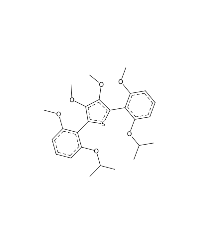 COc1cccc(OC(C)C)c1-c1sc(-c2c(OC)cccc2OC(C)C)c(OC)c1OC